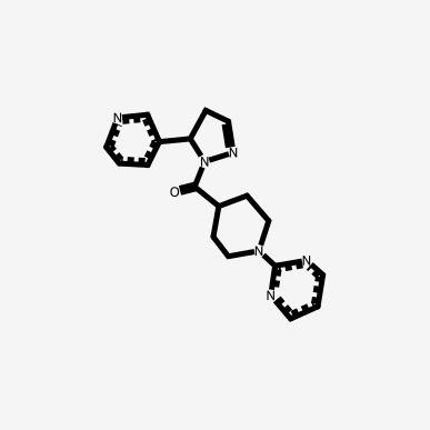 O=C(C1CCN(c2ncccn2)CC1)N1N=CCC1c1cccnc1